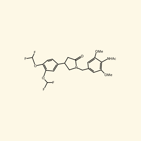 COc1cc(CN2CC(c3ccc(OC(F)F)c(OC(F)F)c3)CC2=O)cc(OC)c1NC(C)=O